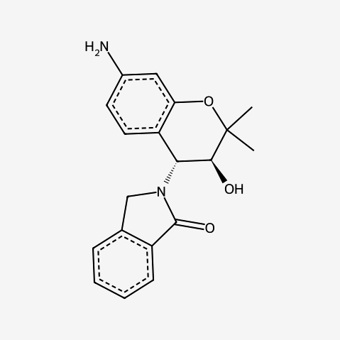 CC1(C)Oc2cc(N)ccc2[C@@H](N2Cc3ccccc3C2=O)[C@@H]1O